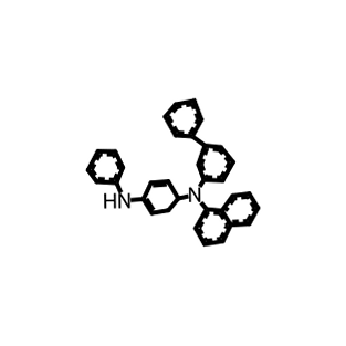 C1=CC(N(c2cccc(-c3ccccc3)c2)c2cccc3ccccc23)CC=C1Nc1ccccc1